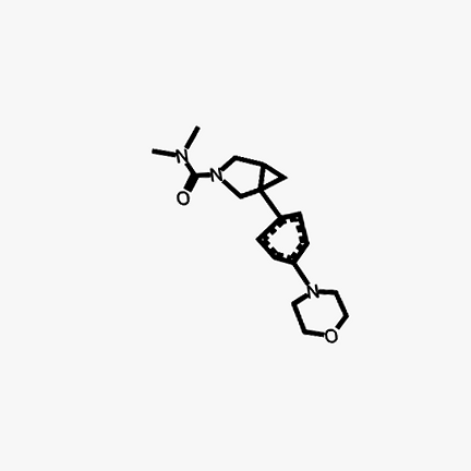 CN(C)C(=O)N1CC2CC2(c2ccc(N3CCOCC3)cc2)C1